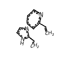 C=Cc1ccccn1.C=Cc1ncc[nH]1